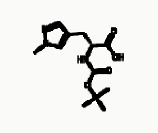 Cn1cc(C[C@@H](NC(=O)OC(C)(C)C)C(=O)O)cn1